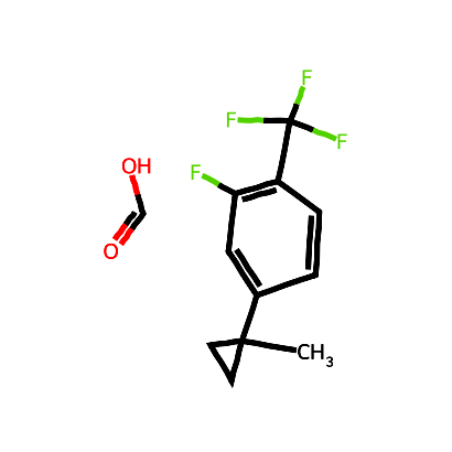 CC1(c2ccc(C(F)(F)F)c(F)c2)CC1.O=CO